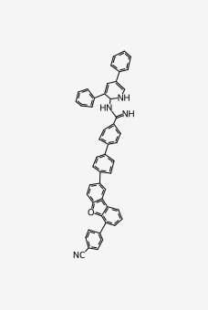 N#Cc1ccc(-c2cccc3c2oc2ccc(-c4ccc(-c5ccc(C(=N)NC6NC=C(c7ccccc7)C=C6c6ccccc6)cc5)cc4)cc23)cc1